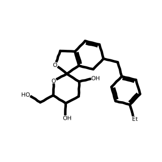 CCc1ccc(CC2C=CC3=C(C2)C2(OC3)OC(CO)C(O)CC2O)cc1